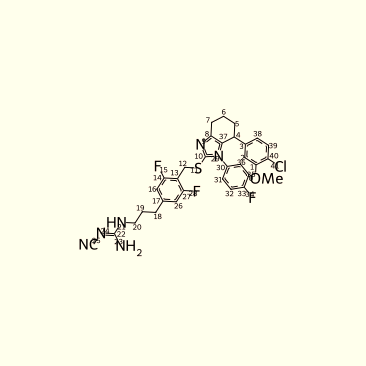 COc1cc(C2CCCc3nc(SCc4c(F)cc(CCCN/C(N)=N/C#N)cc4F)n(-c4ccc(F)cc4)c32)ccc1Cl